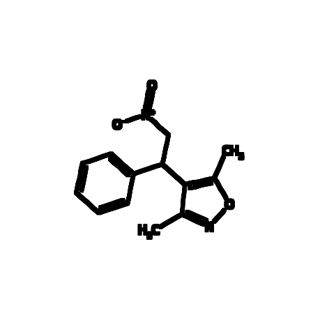 Cc1noc(C)c1C(C[N+](=O)[O-])c1ccccc1